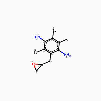 CCc1c(C)c(N)c(CC2CO2)c(CC)c1N